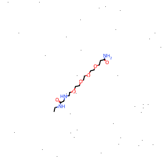 CCNC(=O)CNCCOCCOCCOCCOCCC(N)=O